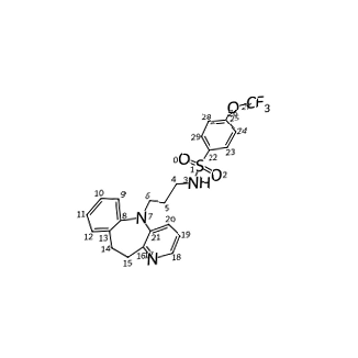 O=S(=O)(NCCCN1c2ccccc2CCc2ncccc21)c1ccc(OC(F)(F)F)cc1